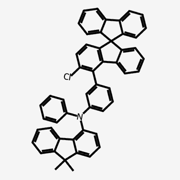 CC1(C)c2ccccc2-c2c(N(c3ccccc3)c3cccc(-c4c(Cl)ccc5c4-c4ccccc4C54c5ccccc5-c5ccccc54)c3)cccc21